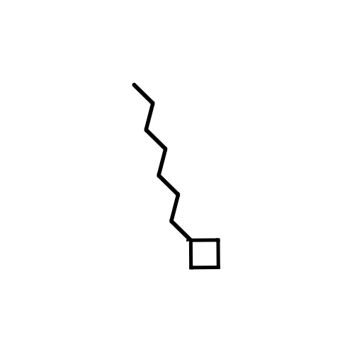 CCCCCCC[C]1CCC1